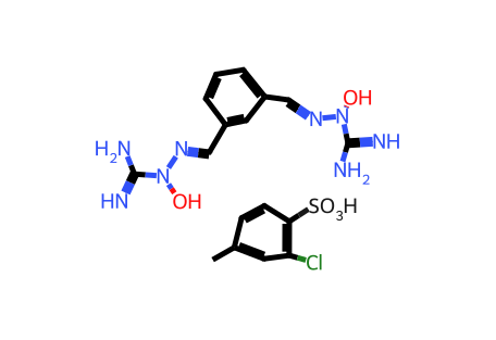 Cc1ccc(S(=O)(=O)O)c(Cl)c1.N=C(N)N(O)N=Cc1cccc(C=NN(O)C(=N)N)c1